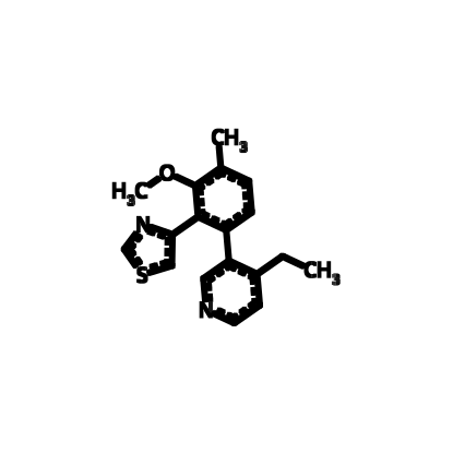 CCc1ccncc1-c1ccc(C)c(OC)c1-c1cscn1